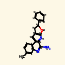 Cc1ccc2c(c1)nc(N)c1nc3c(cc12)CC(c1ccccc1)O3